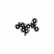 Fc1ccc(-c2cc(-c3nc(-c4ccccc4)nc(-c4ccccc4)n3)ccc2-n2c3ccccc3c3c4c(ccc32)sc2ccccc24)cc1